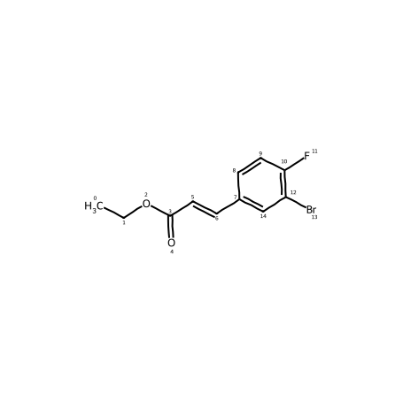 CCOC(=O)/C=C/c1ccc(F)c(Br)c1